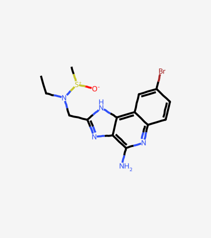 CCN(Cc1nc2c(N)nc3ccc(Br)cc3c2[nH]1)[S+](C)[O-]